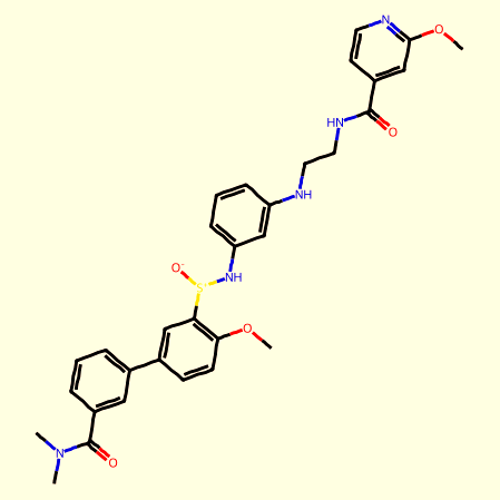 COc1cc(C(=O)NCCNc2cccc(N[S+]([O-])c3cc(-c4cccc(C(=O)N(C)C)c4)ccc3OC)c2)ccn1